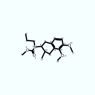 CCCN(C(=O)OC)C1Cc2ccc(OC)c(OC)c2CC1C